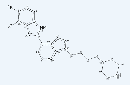 Fc1ccc2[nH]c(-c3cccc4c3ccn4CCCCC3CCNCC3)nc2c1F